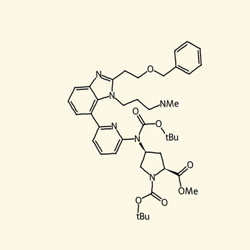 CNCCCn1c(CCOCc2ccccc2)nc2cccc(-c3cccc(N(C(=O)OC(C)(C)C)[C@H]4C[C@@H](C(=O)OC)N(C(=O)OC(C)(C)C)C4)n3)c21